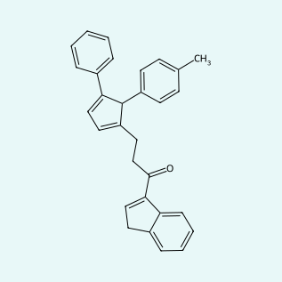 Cc1ccc(C2C(CCC(=O)C3=CCc4ccccc43)=CC=C2c2ccccc2)cc1